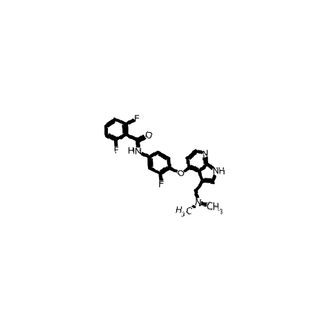 CN(C)Cc1c[nH]c2nccc(Oc3ccc(NC(=O)c4c(F)cccc4F)cc3F)c12